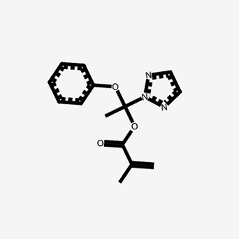 C=C(C)C(=O)OC(C)(Oc1ccccc1)n1nccn1